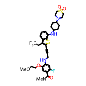 CNC(=O)c1cc(OCCOC)c(NCC#Cc2sc3c(NC4CCC(N5CCS(=O)(=O)CC5)CC4)cccc3c2CC(F)(F)F)cc1F